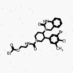 CCC(=O)OCCNC(=O)N1CCC(N2Cc3ccccc3NC2=O)C(c2cc(C)c(Cl)c(Br)c2)C1